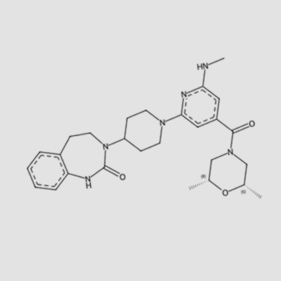 CNc1cc(C(=O)N2C[C@@H](C)O[C@@H](C)C2)cc(N2CCC(N3CCc4ccccc4NC3=O)CC2)n1